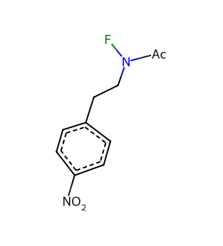 CC(=O)N(F)CCc1ccc([N+](=O)[O-])cc1